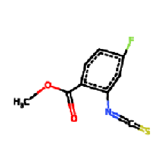 COC(=O)c1ccc(F)cc1N=C=S